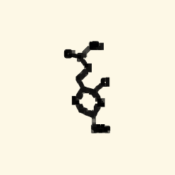 CSc1cnc(C=N[S+]([O-])C(C)(C)C)c(Cl)n1